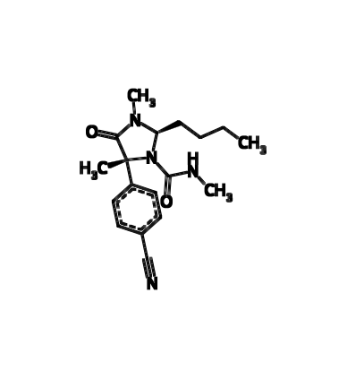 CCCC[C@@H]1N(C)C(=O)[C@@](C)(c2ccc(C#N)cc2)N1C(=O)NC